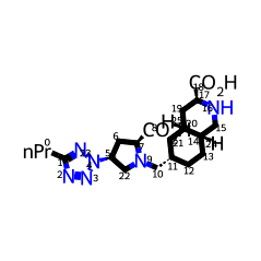 CCCc1nnn([C@H]2C[C@@H](C(=O)O)N(C[C@H]3CC[C@H]4CN[C@H](C(=O)O)C[C@H]4C3)C2)n1